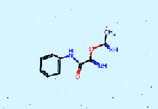 CC(=N)OC(=N)C(=O)Nc1ccccc1